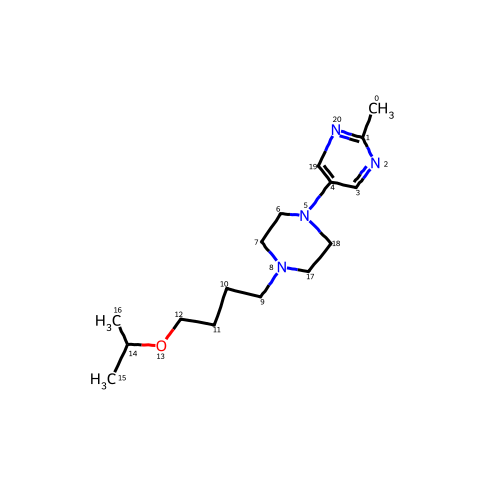 Cc1ncc(N2CCN(CCCCOC(C)C)CC2)cn1